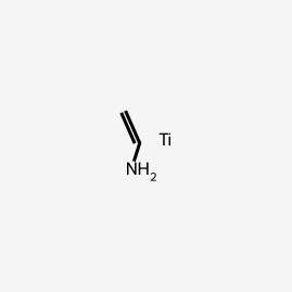 C=CN.[Ti]